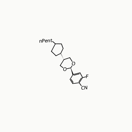 CCCCCC1CCC([C@H]2CO[C@H](c3ccc(C#N)c(F)c3)OC2)CC1